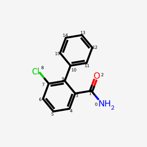 NC(=O)c1cccc(Cl)c1-c1ccccc1